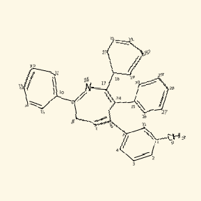 Cc1cccc(C2=CCC(c3ccccc3)=NC(C3C=CC=CC3)=C2c2ccccc2)c1